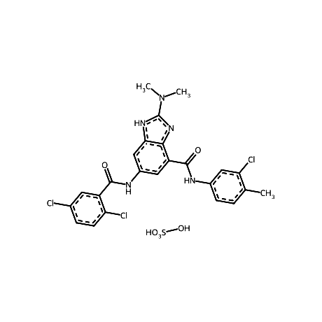 Cc1ccc(NC(=O)c2cc(NC(=O)c3cc(Cl)ccc3Cl)cc3[nH]c(N(C)C)nc23)cc1Cl.O=S(=O)(O)O